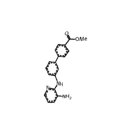 COC(=O)c1ccc(-c2cccc(Nc3ncccc3N)c2)cc1